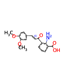 COc1ccc(/C=C/C(=O)c2cccc(C(=O)O)c2N)cc1OC